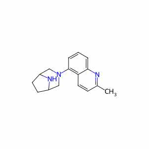 Cc1ccc2c(N3CC4CCC(C3)N4)cccc2n1